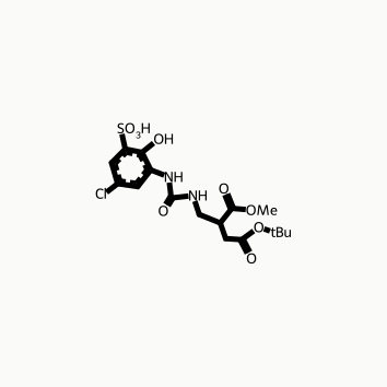 COC(=O)C(CNC(=O)Nc1cc(Cl)cc(S(=O)(=O)O)c1O)CC(=O)OC(C)(C)C